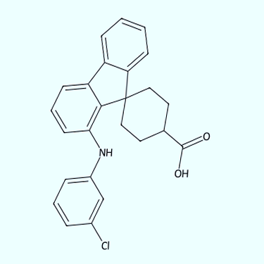 O=C(O)C1CCC2(CC1)c1ccccc1-c1cccc(Nc3cccc(Cl)c3)c12